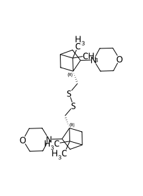 CC1(C)C2CC(N3CCOCC3)[C@@]1(CSSC[C@@]13CC(CC1N1CCOCC1)C3(C)C)C2